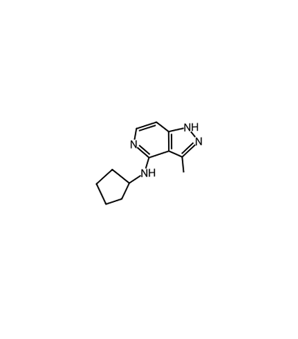 Cc1n[nH]c2ccnc(NC3CCCC3)c12